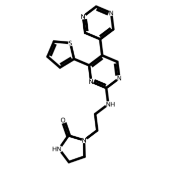 O=C1NCCN1CCNc1ncc(-c2cncnc2)c(-c2cccs2)n1